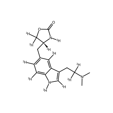 [2H]c1c(C[C@@]2([2H])N([2H])C(=O)OC2([2H])[2H])c([2H])c2c(CC([2H])([2H])N(C)C)c([2H])n([2H])c2c1[2H]